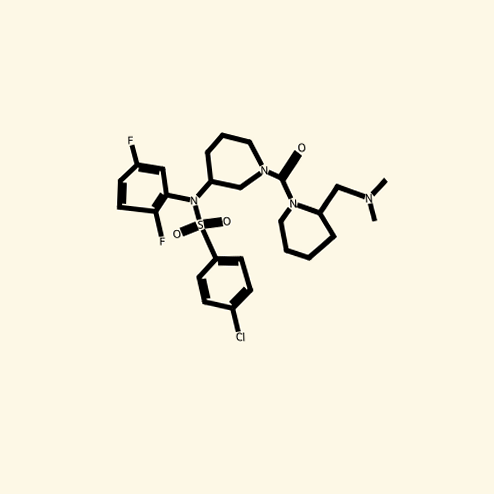 CN(C)CC1CCCCN1C(=O)N1CCCC(N(c2cc(F)ccc2F)S(=O)(=O)c2ccc(Cl)cc2)C1